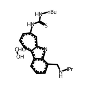 CCCCNC(=S)Nc1cccc2c3cccc(CNC(C)C)c3nc-2c1.O=CO